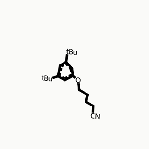 CC(C)(C)c1cc(OCCCCC#N)cc(C(C)(C)C)c1